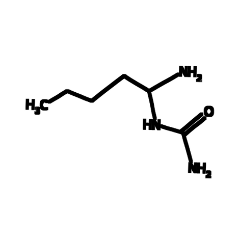 CCCCC(N)NC(N)=O